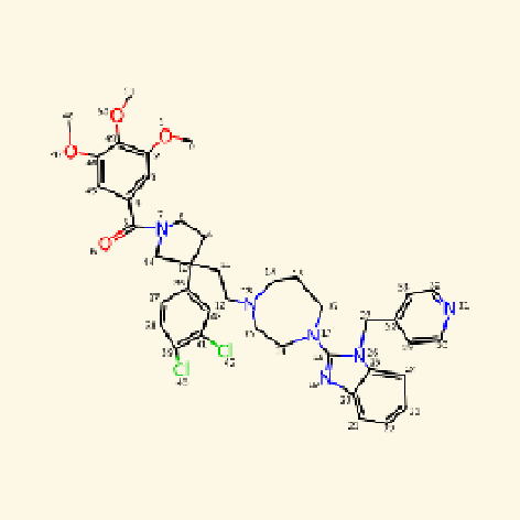 COc1cc(C(=O)N2CCC(CCN3CCCN(c4nc5ccccc5n4Cc4ccncc4)CC3)(c3ccc(Cl)c(Cl)c3)C2)cc(OC)c1OC